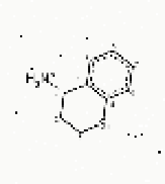 N[C@H]1CCSc2ccccc21